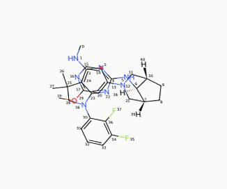 CNc1nc(N[C@@H]2[C@@H]3CC[C@H]2CN(c2ccnc(OC)c2)C3)nc2c1C(C)(C)CN2c1cccc(F)c1F